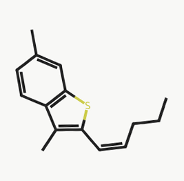 CCC/C=C\c1sc2cc(C)ccc2c1C